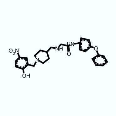 O=C(CNCC1CCN(Cc2cc([N+](=O)[O-])ccc2O)CC1)Nc1ccc(Oc2ccccc2)cc1